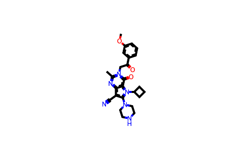 COc1cccc(C(=O)Cn2c(C)nc3c(C#N)c(N4CCNCC4)n(C4CCC4)c3c2=O)c1